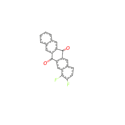 O=C1c2cc3ccccc3cc2C(=O)c2cc3c(F)c(F)ccc3cc21